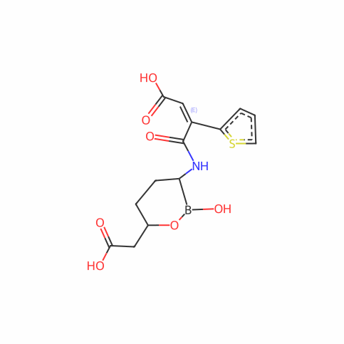 O=C(O)/C=C(\C(=O)NC1CCC(CC(=O)O)OB1O)c1cccs1